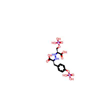 O=C(O)[C@H](COP(=O)(O)O)NN[C@@H](Cc1ccc(OP(=O)(O)O)cc1)C(=O)O